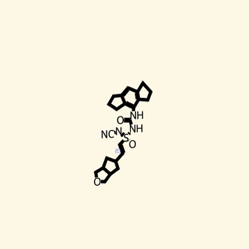 N#CN=S(=O)(/C=C/C1CC2COCC2C1)NC(=O)Nc1c2c(cc3c1CCC3)CCC2